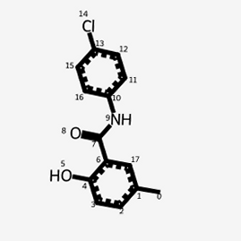 Cc1ccc(O)c(C(=O)Nc2ccc(Cl)cc2)c1